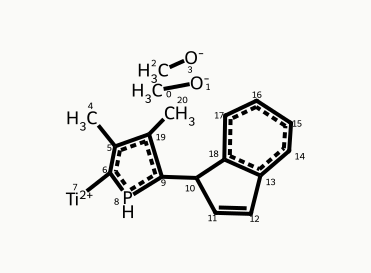 C[O-].C[O-].Cc1[c]([Ti+2])[pH]c(C2C=Cc3ccccc32)c1C